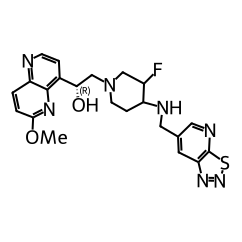 COc1ccc2nccc([C@@H](O)CN3CCC(NCc4cnc5snnc5c4)C(F)C3)c2n1